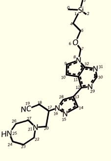 C[Si](C)(C)CCOCn1ccc2c(-c3cnn(C(CC#N)CN4CCCNCC4)c3)ncnc21